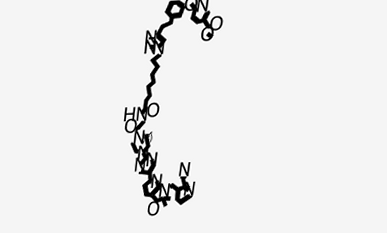 COC(=O)c1ccc(Oc2cccc(CCc3cn(CCCCCCCCC(=O)NCC(=O)N4CCN(c5ncc(-c6ccc7c(n6)N(Cc6cccnc6C#N)C(C)(C)C7=O)cn5)C[C@H]4C)nn3)c2)nc1